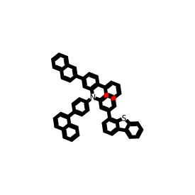 c1ccc(-c2ccc(-c3ccc4ccccc4c3)cc2N(c2ccc(-c3cccc4ccccc34)cc2)c2cccc(-c3cccc4c3sc3ccccc34)c2)cc1